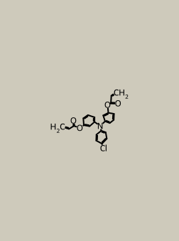 C=CC(=O)Oc1cccc(N(c2ccc(Cl)cc2)c2cccc(OC(=O)C=C)c2)c1